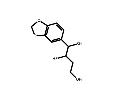 OCCC(S)C(S)c1ccc2c(c1)OCO2